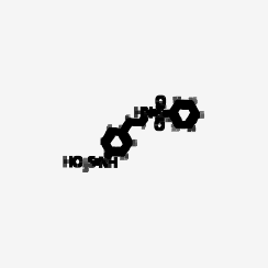 O=S(=O)(O)Nc1ccc(CCNS(=O)(=O)c2ccccc2)cc1